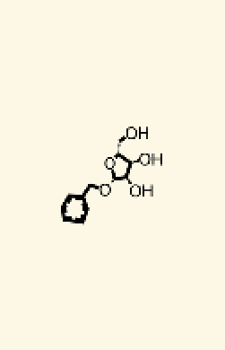 OC[C@H]1O[C@@H](OCc2ccccc2)[C@H](O)[C@@H]1O